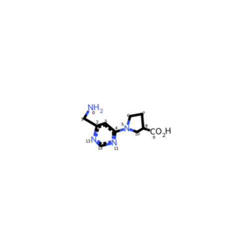 NCc1cc(N2CCC(C(=O)O)C2)ncn1